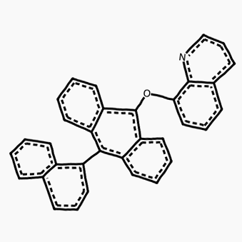 c1ccc2c(-c3c4ccccc4c(Oc4cccc5cccnc45)c4ccccc34)cccc2c1